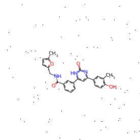 Cc1ccc(CNC(=O)c2cccc(-c3cc(-c4ccc(O)c(C)c4)nc(=O)[nH]3)c2)o1